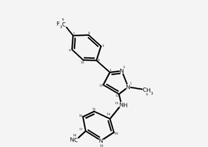 Cn1nc(-c2ccc(C(F)(F)F)cc2)cc1Nc1ccc(C#N)nc1